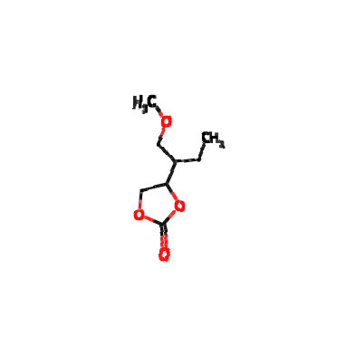 CCC(COC)C1COC(=O)O1